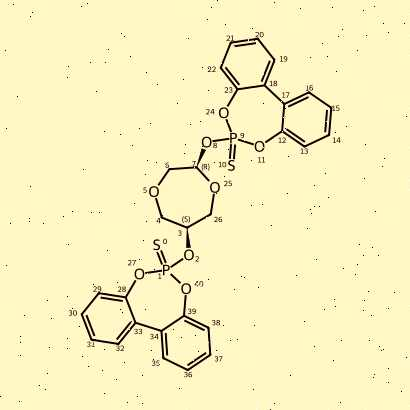 S=P1(O[C@H]2COC[C@@H](OP3(=S)Oc4ccccc4-c4ccccc4O3)OC2)Oc2ccccc2-c2ccccc2O1